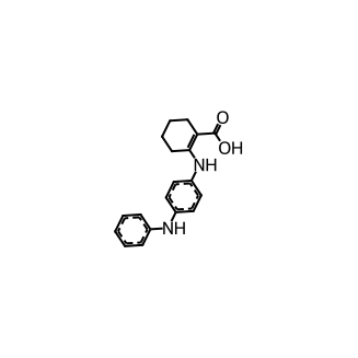 O=C(O)C1=C(Nc2ccc(Nc3ccccc3)cc2)CCCC1